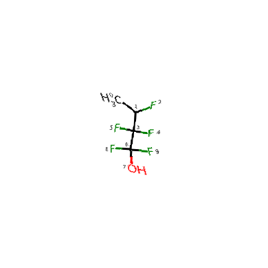 CC(F)C(F)(F)C(O)(F)F